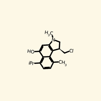 Cc1ccc(C(C)C)c2c(O)cc3c(c12)[C@H](CCl)CN3C